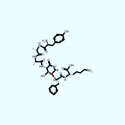 C[C@H](NC(=O)[C@H](C)NC(=O)[C@@H](N)Cc1ccc(O)cc1)C(=O)N[C@H](C(=O)N[C@@H](C)C(=O)N[C@@H](Cc1ccccc1)C(=O)N[C@@H](CCCCN)C(=O)O)[C@@H](C)O